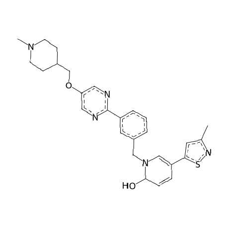 Cc1cc(C2=CN(Cc3cccc(-c4ncc(OCC5CCN(C)CC5)cn4)c3)C(O)C=C2)sn1